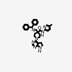 Cc1ccc(NC(=O)C2(CN=C(c3ccccc3)c3ccccc3)CCN(c3ncnc4c3CCN4)CC2)nc1